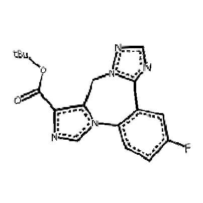 CC(C)(C)OC(=O)c1ncn2c1Cn1ncnc1-c1cc(F)ccc1-2